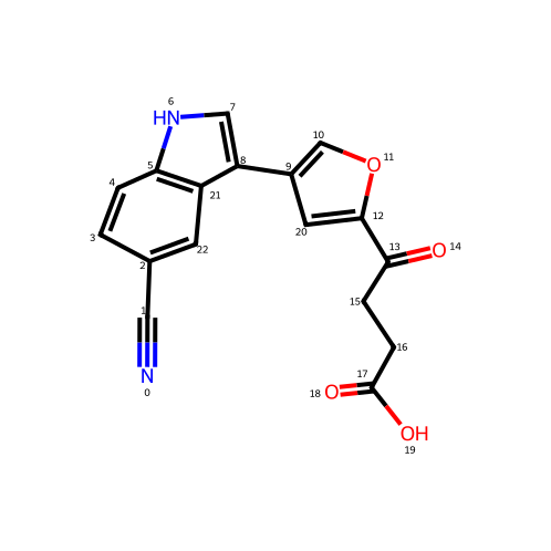 N#Cc1ccc2[nH]cc(-c3coc(C(=O)CCC(=O)O)c3)c2c1